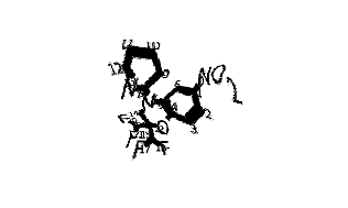 O=[N+]([O-])c1ccc2c(c1)N(c1ccccn1)CC(C(F)F)(C(F)F)O2